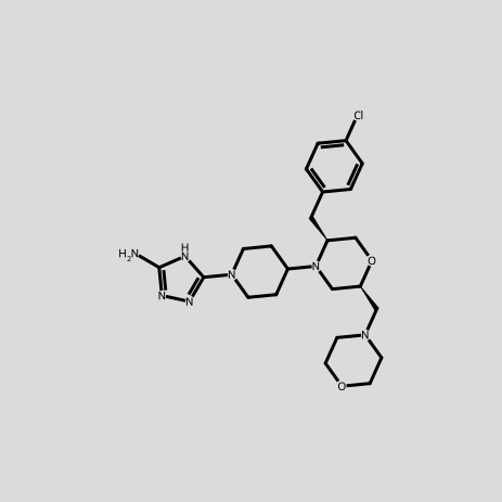 Nc1nnc(N2CCC(N3C[C@H](CN4CCOCC4)OC[C@@H]3Cc3ccc(Cl)cc3)CC2)[nH]1